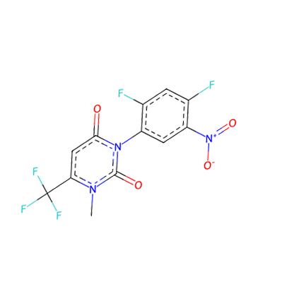 Cn1c(C(F)(F)F)cc(=O)n(-c2cc([N+](=O)[O-])c(F)cc2F)c1=O